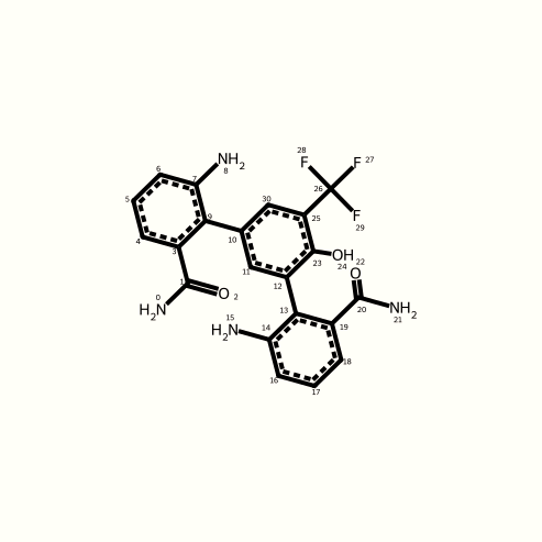 NC(=O)c1cccc(N)c1-c1cc(-c2c(N)cccc2C(N)=O)c(O)c(C(F)(F)F)c1